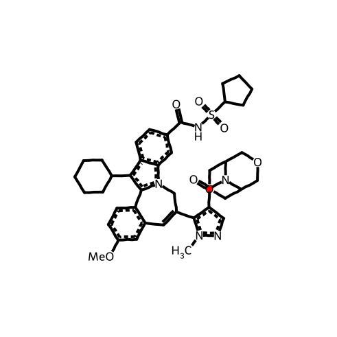 COc1ccc2c(c1)C=C(c1c(C(=O)N3C4COCC3COC4)cnn1C)Cn1c-2c(C2CCCCC2)c2ccc(C(=O)NS(=O)(=O)C3CCCC3)cc21